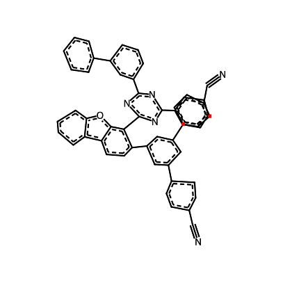 N#Cc1ccc(-c2cc(-c3ccc(C#N)cc3)cc(-c3ccc4c(oc5ccccc54)c3-c3nc(-c4ccccc4)nc(-c4cccc(-c5ccccc5)c4)n3)c2)cc1